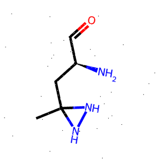 CC1(C[C@H](N)C=O)NN1